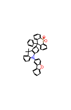 CC1(C)c2ccccc2N(c2ccc3oc4ccccc4c3c2)c2ccc(C3(c4ccccc4)c4ccccc4S(=O)(=O)c4ccccc43)cc21